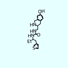 CCC(Cc1ccsc1)NC(=O)NCC1Cc2ccc(O)cc2CN1